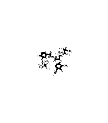 [C-]#[N+]c1ccc(NC(C(=O)NNC(=O)c2ccc(F)c(O[Si](C)(C)C(C)(C)C)c2)[C@H](C)O[Si](C)(C)C(C)(C)C)c(C)c1Cl